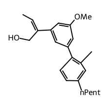 C/C=C(\CO)c1cc(OC)cc(-c2ccc(CCCCC)cc2C)c1